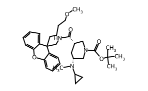 COCCCCC1(CNC(=O)[C@H]2C[C@@H](N(C)C3CC3)CN(C(=O)OC(C)(C)C)C2)c2ccccc2Oc2ccccc21